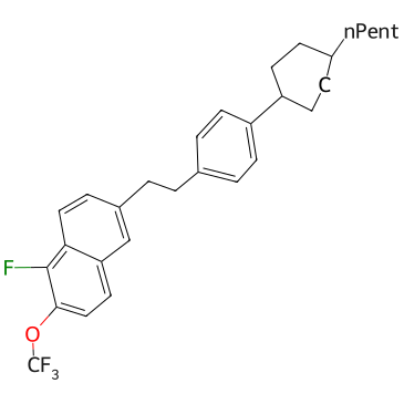 CCCCCC1CCC(c2ccc(CCc3ccc4c(F)c(OC(F)(F)F)ccc4c3)cc2)CC1